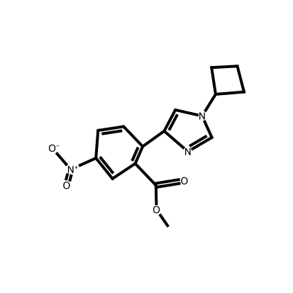 COC(=O)c1cc([N+](=O)[O-])ccc1-c1cn(C2CCC2)cn1